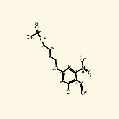 O=Cc1c(Cl)cc(OCCCCCC(=O)Cl)cc1[N+](=O)[O-]